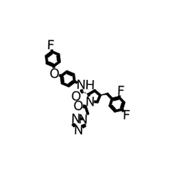 O=C(Nc1ccc(Oc2ccc(F)cc2)cc1)[C@@H]1C[C@@H](Cc2ccc(F)cc2F)CN1C(=O)Cn1cncn1